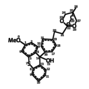 COc1ccc2c(c1)Sc1ccccc1C2(O)c1ccc(CCC23OCC(C)(CO2)CO3)cc1